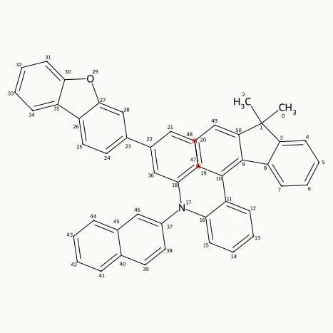 CC1(C)c2ccccc2-c2c(-c3ccccc3N(c3cccc(-c4ccc5c(c4)oc4ccccc45)c3)c3ccc4ccccc4c3)cccc21